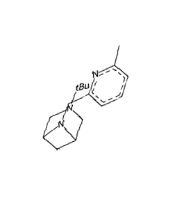 Cc1cccc(CN2C3CC2CN(C(C)(C)C)C3)n1